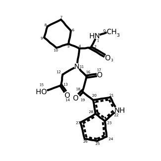 CNC(=O)C(C1CCCCC1)N(CC(=O)O)C(=O)C(=O)c1c[nH]c2ccccc12